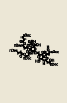 CCCCCCCCCCCCC(=O)O[C@H](CCCCCCCCCC)CC(=O)NC1C(OC(=O)C[C@@H](CCCCCCCCCC)OC(=O)CCCCCCCCCCCC)[C@H](OP(=O)(O)O)C(CO)O[C@H]1OCC1O[C@@H](O)C(NC(=O)C[C@H](O)CCCCCCCCCC)C(OC(=O)C[C@H](O)CCCCCCCCCC)[C@@H]1O